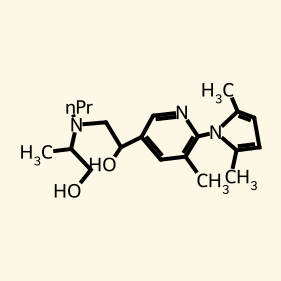 CCCN(CC(O)c1cnc(-n2c(C)ccc2C)c(C)c1)C(C)CO